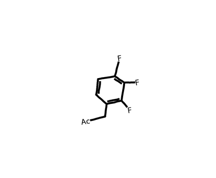 CC(=O)Cc1ccc(F)c(F)c1F